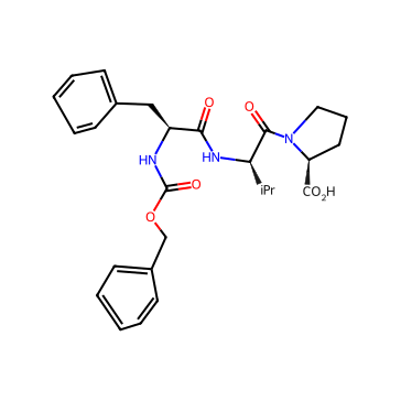 CC(C)[C@@H](NC(=O)[C@H](Cc1ccccc1)NC(=O)OCc1ccccc1)C(=O)N1CCC[C@H]1C(=O)O